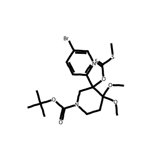 COC1(OC)CCN(C(=O)OC(C)(C)C)CC1(OC(=S)SC)c1ccc(Br)cn1